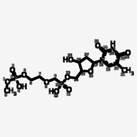 COP(=O)(O)OCCOCP(=O)(O)OCC1OC(n2cc(C)c(=O)[nH]c2=O)CC1O